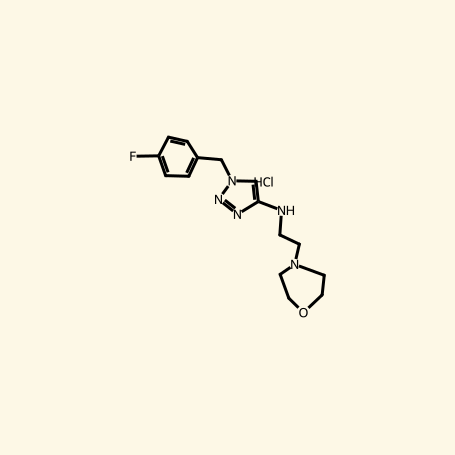 Cl.Fc1ccc(Cn2cc(NCCN3CCOCC3)nn2)cc1